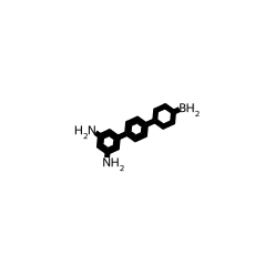 BC1CCC(c2ccc(-c3cc(N)cc(N)c3)cc2)CC1